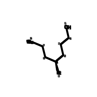 CC[C@H](CCCO)CCC(C)(C)C